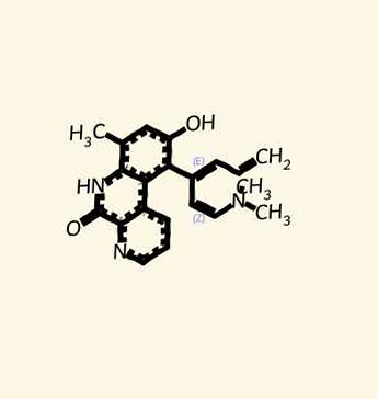 C=C/C=C(\C=C/N(C)C)c1c(O)cc(C)c2[nH]c(=O)c3ncccc3c12